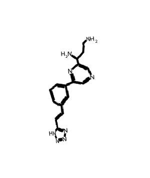 NCCC(N)c1cncc(-c2cccc(C=Cc3nnn[nH]3)c2)n1